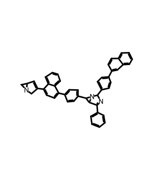 C1=C(c2ccc(-c3ccc(C4C5C(c6ccccc6)=NC(c6ccc(-c7ccc8ccccc8c7)cc6)N54)cc3)c3ccccc23)CN2CC12